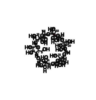 OCC1O[C@@H]2O[C@@H]3C(CO)O[C@H](O[C@@H]4C(CO)O[C@H](O[C@@H]5C(CO)O[C@H](O[C@@H]6C(CO)O[C@H](O[C@@H]7C(CO)O[C@H](O[C@H]1C(O)C2O)C(O)C7O)C(O)C6O)C(O)C5O)C(O)C4O)C(O)C3O